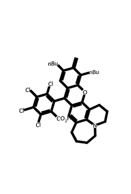 C=c1c(CCCC)cc2c(c1CCCC)Oc1c(cc3c4c1CCCN4CCCC3)C=2c1c(Cl)c(Cl)c(Cl)c(Cl)c1C(=O)O